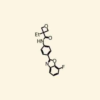 CCC1(C(=O)Nc2ccc(-c3nc4cccc(F)c4o3)cc2)COC1